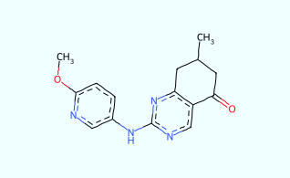 COc1ccc(Nc2ncc3c(n2)CC(C)CC3=O)cn1